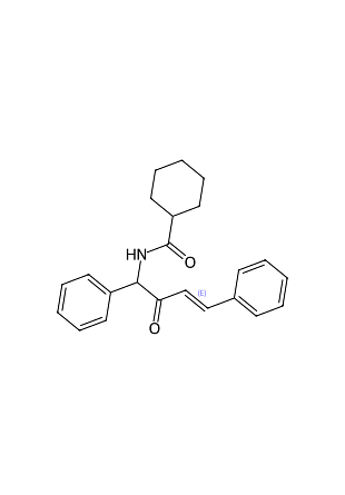 O=C(NC(C(=O)/C=C/c1ccccc1)c1ccccc1)C1CCCCC1